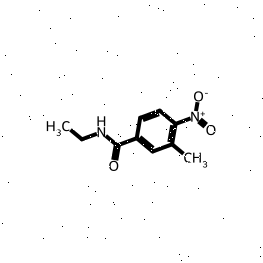 CCNC(=O)c1ccc([N+](=O)[O-])c(C)c1